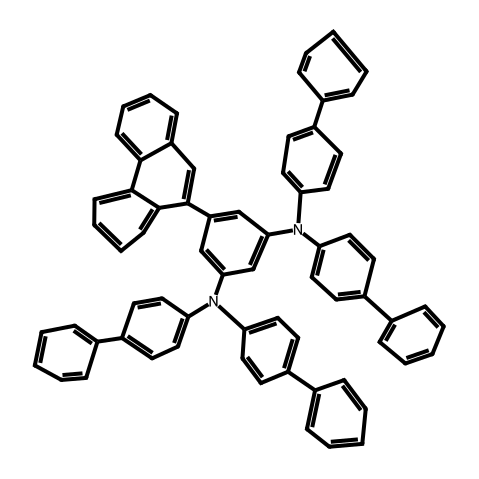 c1ccc(-c2ccc(N(c3ccc(-c4ccccc4)cc3)c3cc(-c4cc5ccccc5c5ccccc45)cc(N(c4ccc(-c5ccccc5)cc4)c4ccc(-c5ccccc5)cc4)c3)cc2)cc1